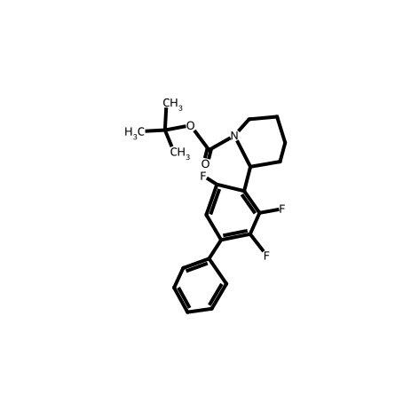 CC(C)(C)OC(=O)N1CCCCC1c1c(F)cc(-c2ccccc2)c(F)c1F